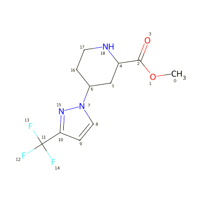 COC(=O)C1CC(n2ccc(C(F)(F)F)n2)CCN1